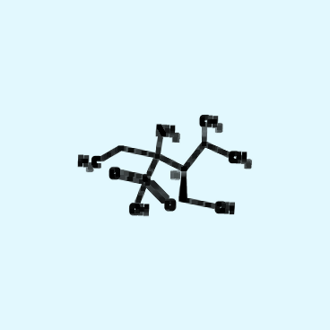 CCC(N)([C@H](CO)C(C)C)S(=O)(=O)O